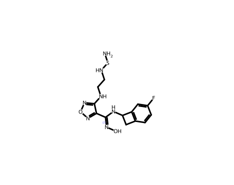 NSNCCNc1nonc1/C(=N/O)NC1Cc2ccc(F)cc21